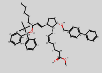 CCCCC[C@@H](/C=C/[C@H]1CC[C@H](OCc2ccc(-c3ccccc3)cc2)[C@@H]1C/C=C\CCCC(=O)OC)O[Si](c1ccccc1)(c1ccccc1)C(C)(C)C